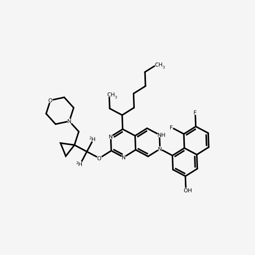 [2H]C([2H])(Oc1nc(C(CC)CCCCC)c2c(n1)=CN(c1cc(O)cc3ccc(F)c(F)c13)NC=2)C1(CN2CCOCC2)CC1